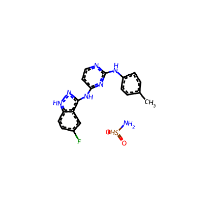 Cc1ccc(Nc2nccc(Nc3n[nH]c4ccc(F)cc34)n2)cc1.N[SH](=O)=O